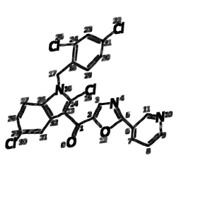 O=C(c1cnc(-c2cccnc2)o1)c1c(Cl)n(Cc2ccc(Cl)cc2Cl)c2ccc(Cl)cc12